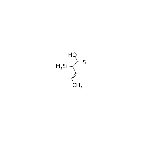 CC=CC([SiH3])C(O)=S